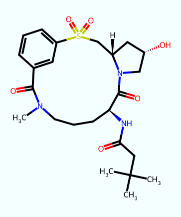 CN1CCC[C@H](NC(=O)CC(C)(C)C)C(=O)N2C[C@@H](O)C[C@H]2CS(=O)(=O)c2cccc(c2)C1=O